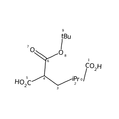 CC(=O)O.CC(C)CC(C(=O)O)C(=O)OC(C)(C)C